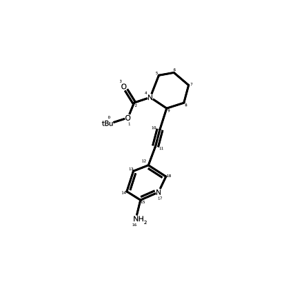 CC(C)(C)OC(=O)N1CCCCC1C#Cc1ccc(N)nc1